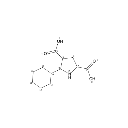 O=C(O)C1CC(C(=O)O)C(C2CCCCC2)N1